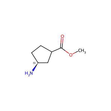 COC(=O)C1CC[C@H](N)C1